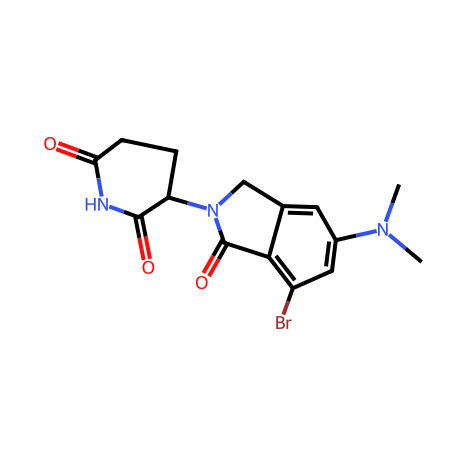 CN(C)c1cc(Br)c2c(c1)CN(C1CCC(=O)NC1=O)C2=O